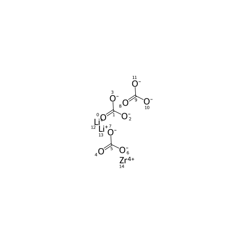 O=C([O-])[O-].O=C([O-])[O-].O=C([O-])[O-].[Li+].[Li+].[Zr+4]